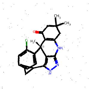 CC1(C)CC(=O)C2=C(C1)Nc1n[nH]c(C3CC3)c1[C@]2(C)c1ccccc1Cl